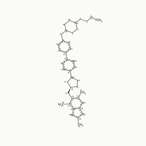 COCCN1CCN(Cc2ccc(-c3cnc(N4CC[C@@H](Cc5c(C)nc6nc(C)nn6c5C)C4)cn3)cc2)CC1